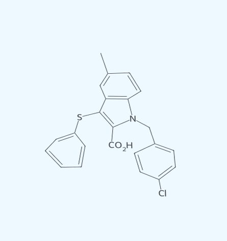 Cc1ccc2c(c1)c(Sc1ccccc1)c(C(=O)O)n2Cc1ccc(Cl)cc1